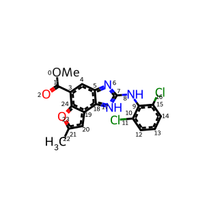 COC(=O)c1cc2nc(Nc3c(Cl)cccc3Cl)[nH]c2c2cc(C)oc12